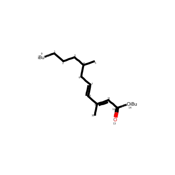 CCC(C)CCCC(C)CC=CC(C)=CC(=O)OCC(C)C